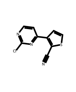 N#Cc1sccc1-c1ccnc(Cl)n1